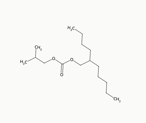 CCCCCC(CCCC)COC(=O)OCC(C)C